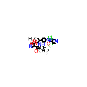 CCC(c1ccc(NC(=O)c2c(Cl)cncc2Cl)cc1)[C@H](NC1=C(c2cccnc2)C(=O)C1(C)C)C(=O)O